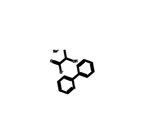 CC(O)C(=O)[O-].[Na+].c1ccc(-c2ccccn2)cc1